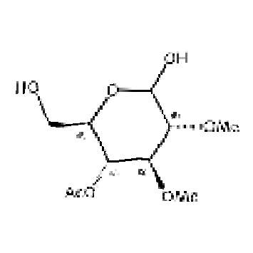 CO[C@H]1[C@H](OC(C)=O)[C@@H](CO)OC(O)[C@@H]1OC